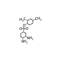 Cc1ccc(OS(=O)(=O)c2ccc(N)c(N)c2)c(C)c1